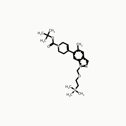 Cc1cc2cnn(COCC[Si](C)(C)C)c2cc1C1=CCN(C(=O)OC(C)(C)C)CC1